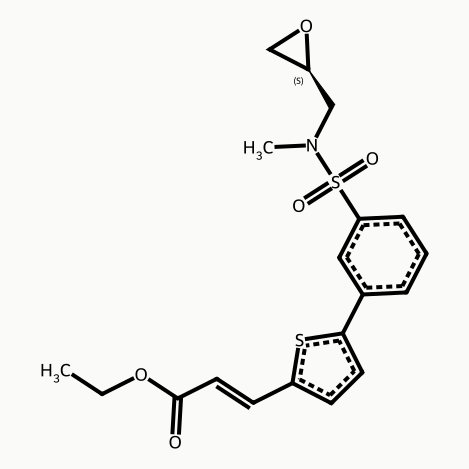 CCOC(=O)C=Cc1ccc(-c2cccc(S(=O)(=O)N(C)C[C@H]3CO3)c2)s1